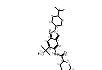 CC(C)C1CCC(n2cc3cc(NC(=O)C4CCCCO4)c(C(C)(C)O)cc3n2)CC1